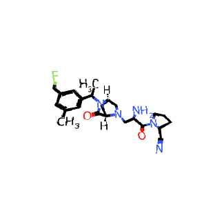 Cc1cc(CF)cc(C(C)N2C(=O)[C@@H]3C[C@@H]2CN3CC(N)C(=O)N2CCCC2C#N)c1